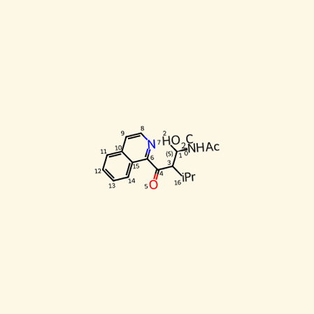 CC(=O)N[C@H](C(=O)O)C(C(=O)c1nccc2ccccc12)C(C)C